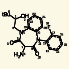 CC(C)(C)C(O)CN1C(=O)C(N)C(=O)N(c2ccccc2F)c2ccccc21